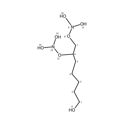 OCCCCCC(CON(O)O)ON(O)O